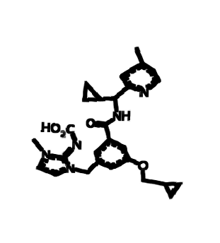 Cc1ccnc(C(NC(=O)c2cc(Cn3ccn(C)/c3=N\C(=O)O)cc(OCC3CC3)c2)C2CC2)c1